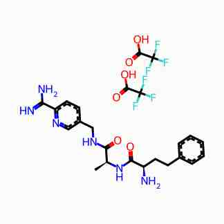 C[C@H](NC(=O)[C@H](N)CCc1ccccc1)C(=O)NCc1ccc(C(=N)N)nc1.O=C(O)C(F)(F)F.O=C(O)C(F)(F)F